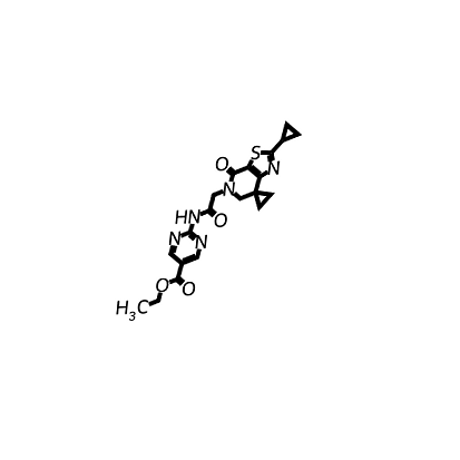 CCOC(=O)c1cnc(NC(=O)CN2CC3(CC3)c3nc(C4CC4)sc3C2=O)nc1